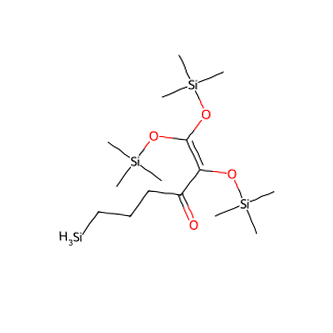 C[Si](C)(C)OC(O[Si](C)(C)C)=C(O[Si](C)(C)C)C(=O)CCC[SiH3]